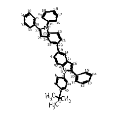 CC(C)(C)c1ccc(-n2c(-c3ccccc3)cc3cc(-c4ccc5c(c4)cc(-c4ccccc4)n5-c4ccccc4)ccc32)cc1